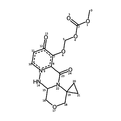 COC(=O)OCOc1c2n(ccc1=O)NC1COCC3(CC3)N1C2=O